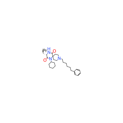 CC(C)C[C@@H]1NC(=O)C2(CCN(CCCCCCc3ccccc3)CC2)N(C2CCCCC2)C1=O